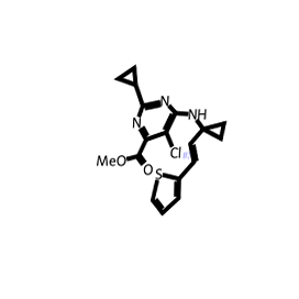 COC(=O)c1nc(C2CC2)nc(NC2(/C=C/c3cccs3)CC2)c1Cl